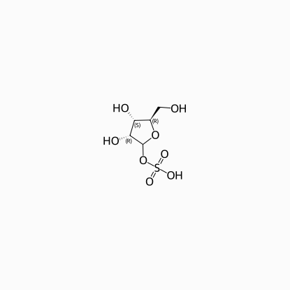 O=S(=O)(O)OC1O[C@H](CO)[C@@H](O)[C@H]1O